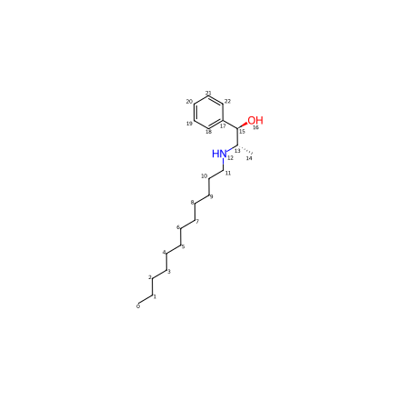 CCCCCCCCCCCCN[C@@H](C)[C@H](O)c1ccccc1